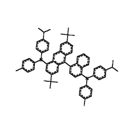 Cc1ccc(N(c2ccc(C(C)C)cc2)c2ccc(-c3c4ccc(C(C)(C)C)cc4cc4c(N(c5ccc(C)cc5)c5ccc(C(C)C)cc5)cc(C(C)(C)C)cc34)c3ccccc23)cc1